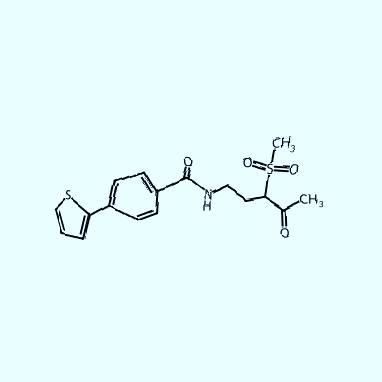 CC(=O)C(CCNC(=O)c1ccc(-c2cccs2)cc1)S(C)(=O)=O